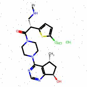 CC(C)NC[C@@H](C(=O)N1CCN(c2ncnc3c2[C@H](C)C[C@H]3O)CC1)c1ccc(Cl)s1.Cl.Cl